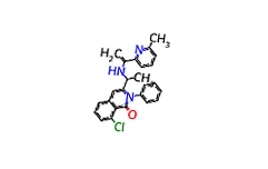 C=C(N[C@@H](C)c1cc2cccc(Cl)c2c(=O)n1-c1ccccc1)c1cccc(C)n1